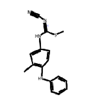 CS/C(=N/C#N)Nc1ccc(Nc2ccccc2)c(C)c1